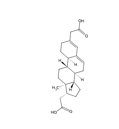 C[C@]12CC[C@H]3[C@@H](CC=C4C=C(CC(=O)O)CC[C@@H]43)[C@@H]1CC[C@@H]2CC(=O)O